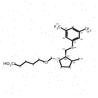 O=C(O)CCCCOC[C@H]1CCC(F)[C@@H]1CSc1cc(C(F)(F)F)cc(C(F)(F)F)c1